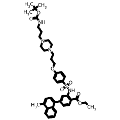 CCOC(=O)c1ccc(-c2ccc(C)c3ccccc23)cc1NS(=O)(=O)c1ccc(OCCCN2CCN(CCCNC(=O)OC(C)(C)C)CC2)cc1